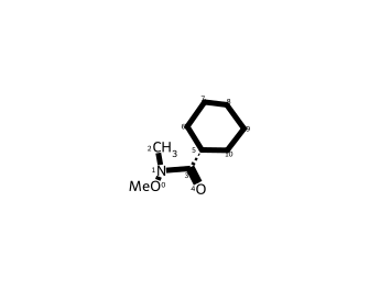 CON(C)C(=O)[C@@H]1C[CH]CCC1